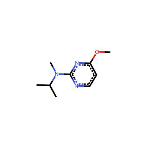 COc1ccnc(N(C)C(C)C)n1